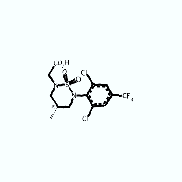 C[C@@H]1CN(CC(=O)O)S(=O)(=O)N(c2c(Cl)cc(C(F)(F)F)cc2Cl)C1